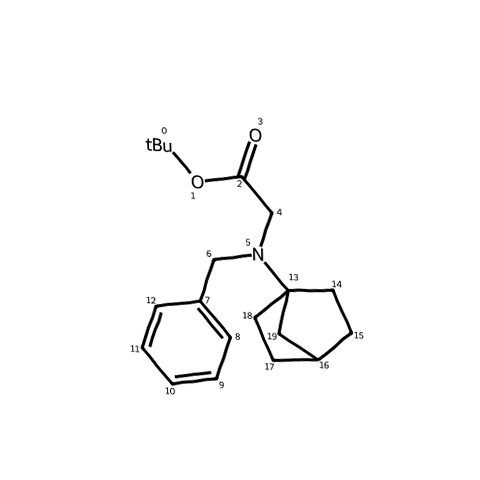 CC(C)(C)OC(=O)CN(Cc1ccccc1)C12CCC(CC1)C2